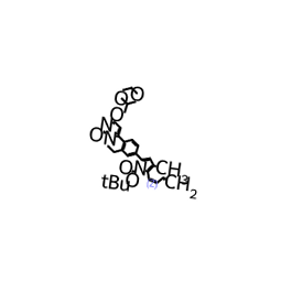 C=C/C=C\c1c(C)cc(-c2ccc3c(c2)CCn2c-3cc(OCC3COCCO3)nc2=O)n1C(=O)OC(C)(C)C